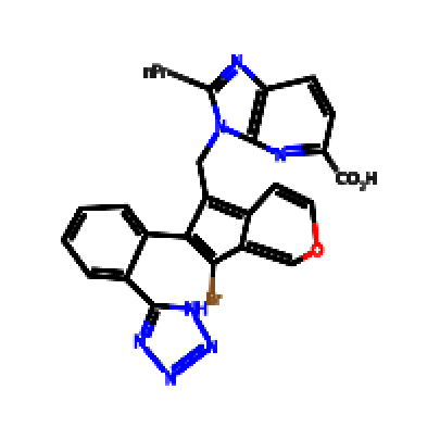 CCCc1nc2ccc(C(=O)O)nc2n1Cc1c2ccocc-2c(Br)c1-c1ccccc1-c1nnn[nH]1